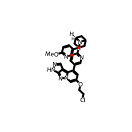 COc1ccc(CN2C3C[C@@H]2CN(c2ccc(-c4cc(OCCCl)cn5nc6[nH]ncc6c45)cn2)C3)cn1